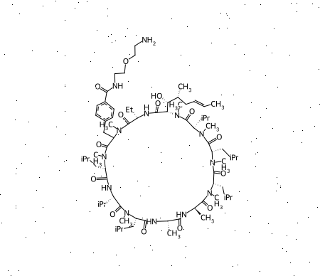 CC=CC[C@@H](C)[C@@H](O)[C@H]1C(=O)N[C@@H](CC)C(=O)N(C)C(Cc2ccc(C(=O)NCCOCCN)cc2)C(=O)N(C)[C@@H](CC(C)C)C(=O)N[C@@H](C(C)C)C(=O)N(C)[C@@H](CC(C)C)C(=O)N[C@@H](C)C(=O)N[C@H](C)C(=O)N(C)[C@@H](CC(C)C)C(=O)N(C)[C@@H](CC(C)C)C(=O)N(C)[C@@H](C(C)C)C(=O)N1C